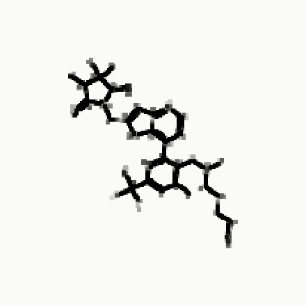 Cc1cc(C(F)(F)F)nc(-c2ccnc3cc(CN4C(=O)C(C)C(C)(C)C4=O)sc23)c1CN(C)CCCC=O